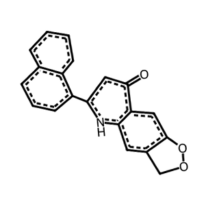 O=c1cc(-c2cccc3ccccc23)[nH]c2cc3c(cc12)OOC3